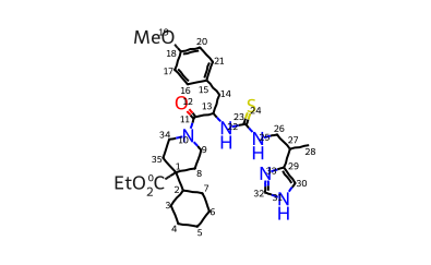 CCOC(=O)C1(C2CCCCC2)CCN(C(=O)C(Cc2ccc(OC)cc2)NC(=S)NCC(C)c2c[nH]cn2)CC1